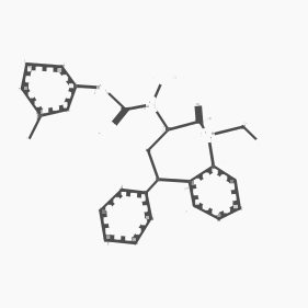 Cc1cccc(NC(=O)N(C2CC(c3ccccc3)c3ccccc3N(CC(=O)O)C2=O)C(C)(C)C)c1